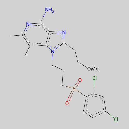 COCCc1nc2c(N)nc(C)c(C)c2n1CCCS(=O)(=O)c1ccc(Cl)cc1Cl